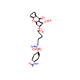 CC(=O)Nc1ccc(S(=O)(=O)NCCCCOc2cc(O)c3c(=O)c4ccccc4oc3c2)cc1